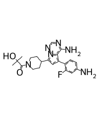 CC(C)(O)C(=O)N1CCC(c2cc(-c3ccc(N)cc3F)c3c(N)ncnn23)CC1